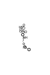 O=C1CCC(N2C(=O)c3ccc(NCCC[C@H]4C[C@H](n5cc(-c6ccccc6)cn5)C4)cc3C2=O)C(=O)N1